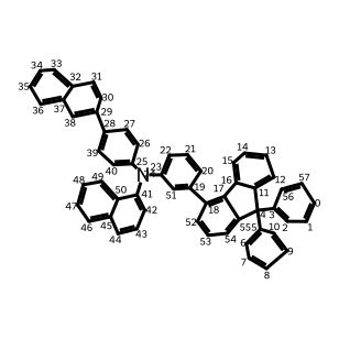 c1ccc(C2(c3ccccc3)c3ccccc3-c3c(-c4cccc(N(c5ccc(-c6ccc7ccccc7c6)cc5)c5cccc6ccccc56)c4)cccc32)cc1